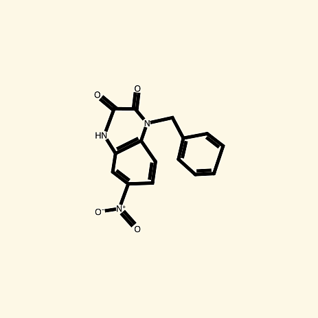 O=c1[nH]c2cc([N+](=O)[O-])ccc2n(Cc2ccccc2)c1=O